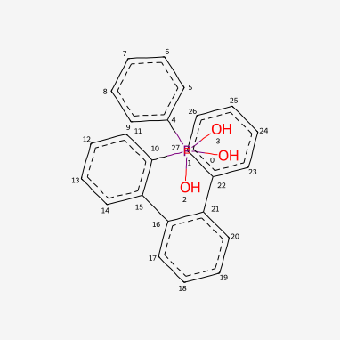 OP(O)(O)(c1ccccc1)c1ccccc1-c1ccccc1-c1ccccc1